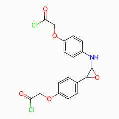 O=C(Cl)COc1ccc(NC2OC2c2ccc(OCC(=O)Cl)cc2)cc1